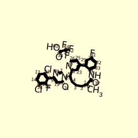 C[C@@H]1CCC[C@H](n2cnc(-c3c(Cl)ccc(Cl)c3F)cc2=O)c2cc(ccn2)-c2cc(F)ccc2NC1=O.O=C(O)C(F)(F)F